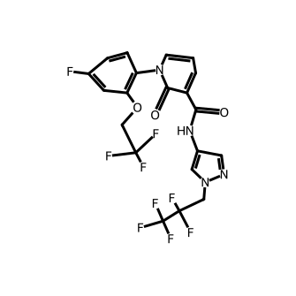 O=C(Nc1cnn(CC(F)(F)C(F)(F)F)c1)c1cccn(-c2ccc(F)cc2OCC(F)(F)F)c1=O